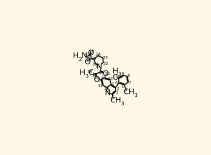 Cc1cc(-c2c(C)cccc2C)c2ccc(O[C@H](C)C(=O)N3CCCC(S(N)(=O)=O)C3)cc2n1